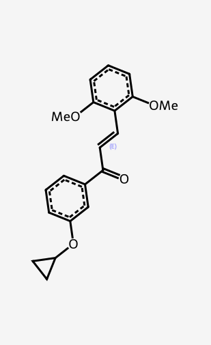 COc1cccc(OC)c1/C=C/C(=O)c1cccc(OC2CC2)c1